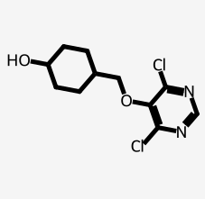 OC1CCC(COc2c(Cl)ncnc2Cl)CC1